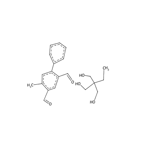 CCC(CO)(CO)CO.Cc1cc(-c2ccccc2)c(C=O)cc1C=O